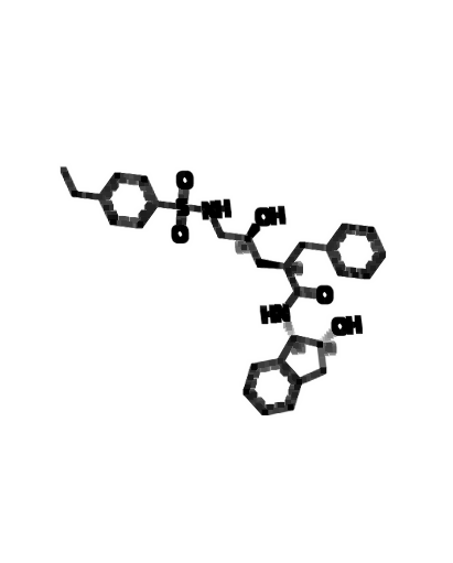 CCc1ccc(S(=O)(=O)NC[C@@H](O)C[C@@H](Cc2ccccc2)C(=O)N[C@H]2c3ccccc3C[C@H]2O)cc1